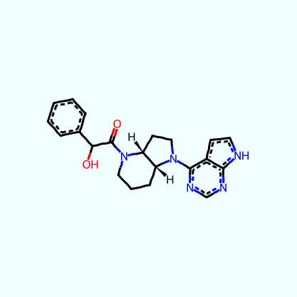 O=C(C(O)c1ccccc1)N1CCC[C@@H]2[C@H]1CCN2c1ncnc2[nH]ccc12